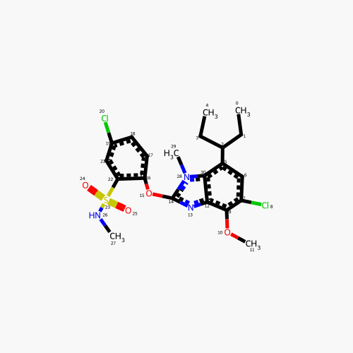 CCC(CC)c1cc(Cl)c(OC)c2nc(Oc3ccc(Cl)cc3S(=O)(=O)NC)n(C)c12